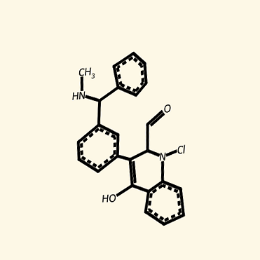 CNC(c1ccccc1)c1cccc(C2=C(O)c3ccccc3N(Cl)C2C=O)c1